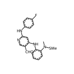 CSN(C)c1ccccc1Nc1cc(Nc2ccc(F)cc2)ncc1C=O